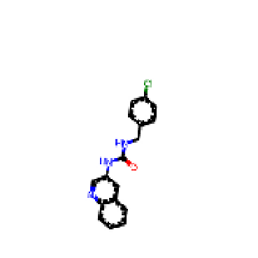 O=C(NCc1ccc(Cl)cc1)Nc1cnc2ccccc2c1